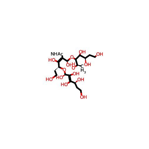 CC(=O)N/C(=C(\O)[C@@H](CCO)O[C@H](O)/C(O)=C(\O)[C@@H](O)CCO)[C@@H](O)OC(C(O)[C@H](O)CCO)[C@@H](C)O